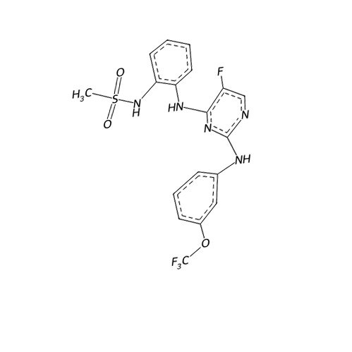 CS(=O)(=O)Nc1ccccc1Nc1nc(Nc2cccc(OC(F)(F)F)c2)ncc1F